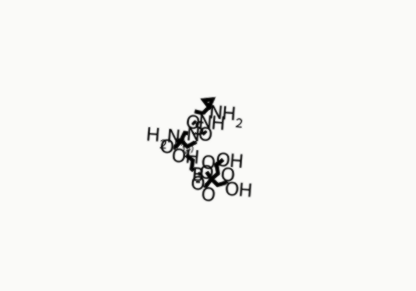 CC(NS(=O)(=O)N1C[C@H](CCCB2OC(=O)C(CC(=O)O)(CC(=O)O)O2)[C@](N)(C(=O)O)C1)C1(N)CC1